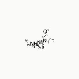 CCCN(CCOC)c1nc(CNCC)cs1